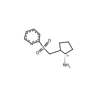 N[C@H]1CCCC1CS(=O)(=O)c1ccccn1